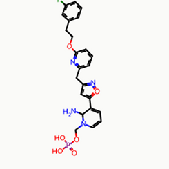 NC1C(c2cc(Cc3cccc(OCCc4cccc(F)c4)n3)no2)=CC=CN1COP(=O)(O)O